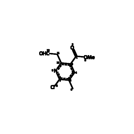 COC(=O)c1cc(C)c(Cl)nc1CC=O